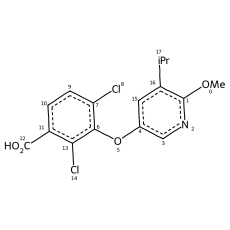 COc1ncc(Oc2c(Cl)ccc(C(=O)O)c2Cl)cc1C(C)C